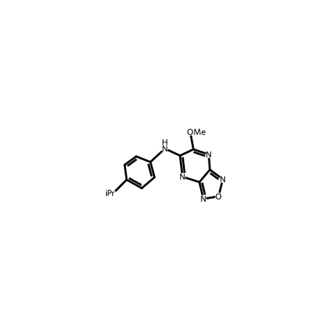 COc1nc2nonc2nc1Nc1ccc(C(C)C)cc1